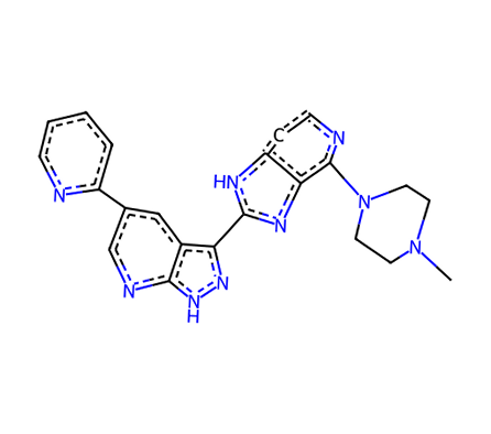 CN1CCN(c2nccc3[nH]c(-c4n[nH]c5ncc(-c6ccccn6)cc45)nc23)CC1